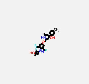 CC1CC(O)(c2ccc(C(F)(F)F)cc2)CC(COc2cc(C(F)F)c3c(c2)c(F)nn3C2CC(C)(O)C2)N1